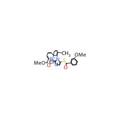 COC(=O)C1=CC=CC23CC=CC(C)=C2n2c(SC(=O)c4cccc(OC)c4)cnc2[N+]13C